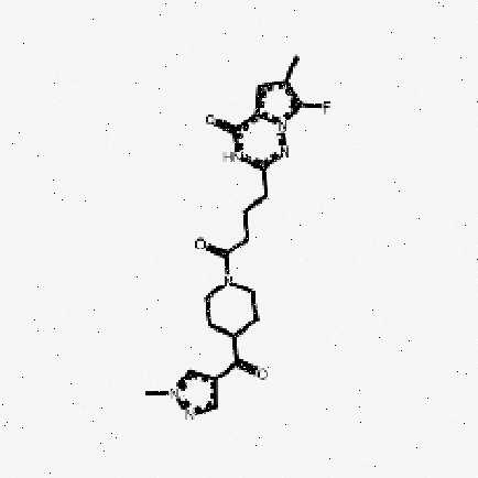 Cc1cc2c(=O)[nH]c(CCCC(=O)N3CCC(C(=O)c4cnn(C)c4)CC3)nn2c1F